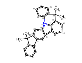 CC1(C)c2ccccc2-c2cc3c4cccc5c4n(c3cc21)-c1ccccc1C5(C)C